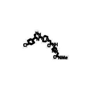 CNC(=O)Cn1cc(NC(=O)CN2CCN(c3nncc(-c4ccc(Cl)cc4)n3)CC2)cn1